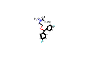 CCC(NC)N(C)CCOC(c1ccc(F)cc1)c1ccc(F)cc1